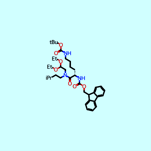 CCOC(CN(CCC(C)C)C(=O)[C@H](CCCCNC(=O)OC(C)(C)C)NC(=O)OCC1c2ccccc2-c2ccccc21)OCC